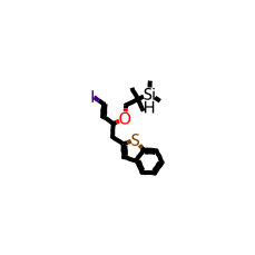 C[SiH](C)C(C)(C)COC(/C=C/I)Cc1cc2ccccc2s1